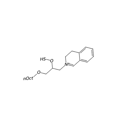 CCCCCCCCOCC(C[N+]1=Cc2ccccc2CC1)OS